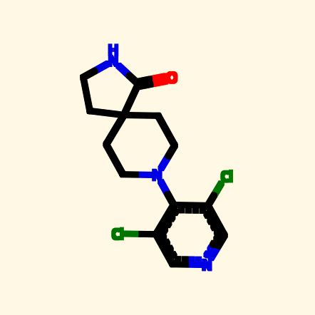 O=C1NCCC12CCN(c1c(Cl)cncc1Cl)CC2